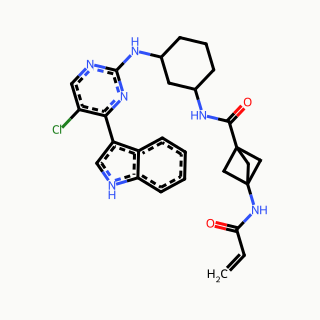 C=CC(=O)NC12CC(C(=O)NC3CCCC(Nc4ncc(Cl)c(-c5c[nH]c6ccccc56)n4)C3)(C1)C2